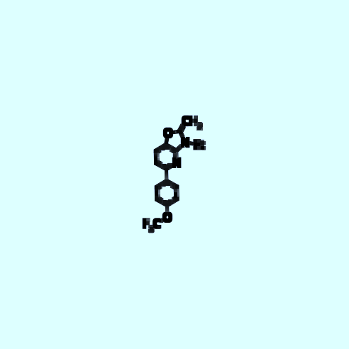 C=C1Oc2ccc(-c3ccc(OC(F)(F)F)cc3)nc2N1CC